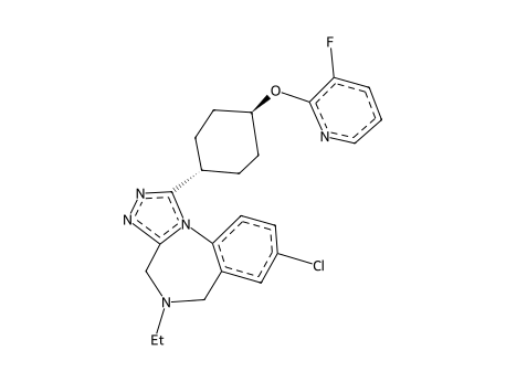 CCN1Cc2cc(Cl)ccc2-n2c(nnc2[C@H]2CC[C@H](Oc3ncccc3F)CC2)C1